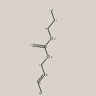 [CH2]CCOC(=O)OCC=CC